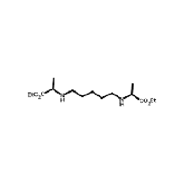 CCOC(=O)C(C)NCCCCCNC(C)C(=O)OCC